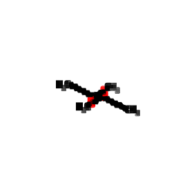 CCCCCCCCCCCCOc1cc(CC(=O)OCC)c(OCCCCCCCCCCCC)cc1CC(=O)OCC